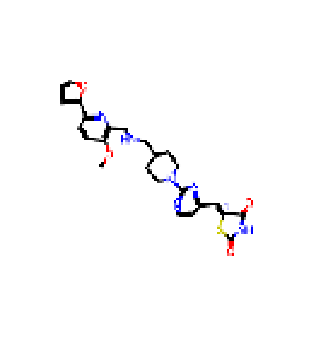 COc1ccc(-c2ccco2)nc1CNCC1CCN(c2nccc(/C=C3\SC(=O)NC3=O)n2)CC1